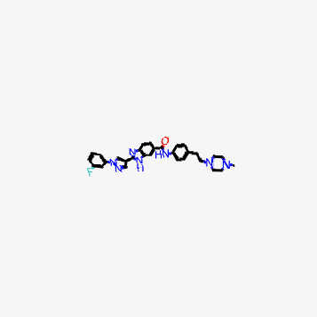 CN1CCN(CCc2ccc(NC(=O)c3ccc4nc(-c5cnn(-c6cccc(F)c6)c5)[nH]c4c3)cc2)CC1